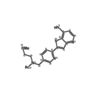 CCCc1ccnc2cc(-c3ccc(CN(CCOC)C(C)=O)cn3)sc12